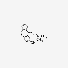 CN(C)CC/C=C1/c2ccccc2CCc2ccc(O)cc21